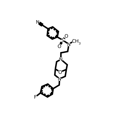 CN(CCN1CC2CN(Cc3ccc(F)cc3)CC(C1)O2)S(=O)(=O)c1ccc(C#N)cc1